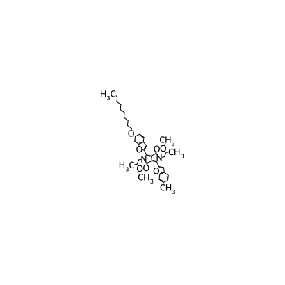 CCCCCCCCCCOc1ccc2cc(C3=C4C(=O)N(CC(C)OCC)C(c5cc6ccc(C)cc6o5)=C4C(=O)N3CC(C)OCC)oc2c1